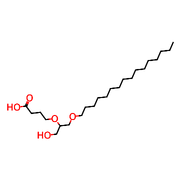 CCCCCCCCCCCCCCCCOCC(CO)OCCCC(=O)O